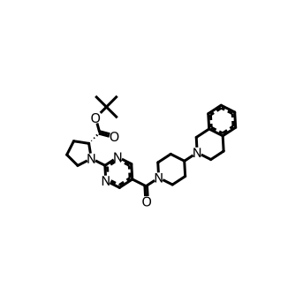 CC(C)(C)OC(=O)[C@H]1CCCN1c1ncc(C(=O)N2CCC(N3CCc4ccccc4C3)CC2)cn1